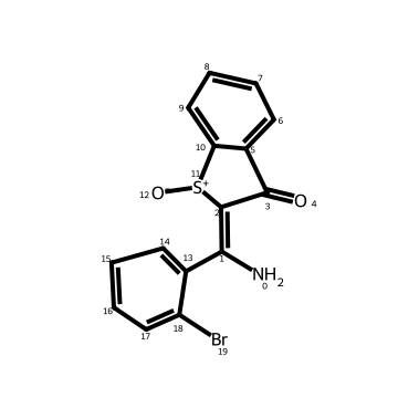 N/C(=C1\C(=O)c2ccccc2[S+]1[O-])c1ccccc1Br